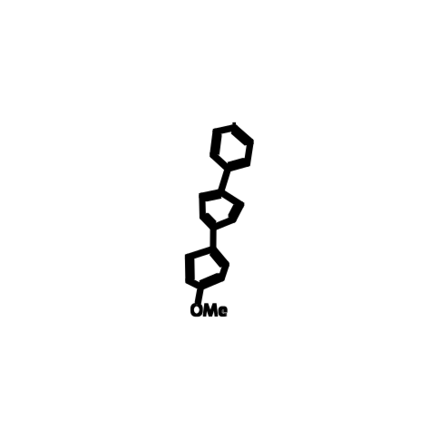 COc1ccc(-c2ccc(-c3cc[c]cc3)cc2)cc1